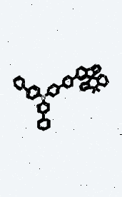 CC1(C)c2ccccc2C2(c3ccccc3-c3ccc(-c4ccc(-c5ccc(N(c6ccc(-c7ccccc7)cc6)c6ccc(-c7ccccc7)cc6)cc5)cc4)cc32)c2ccccc21